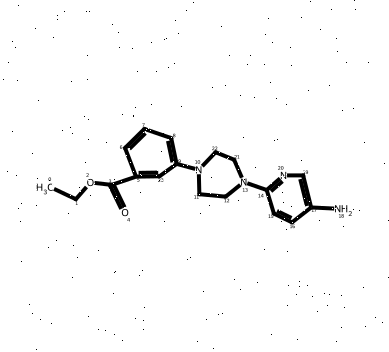 CCOC(=O)c1cccc(N2CCN(c3ccc(N)cn3)CC2)c1